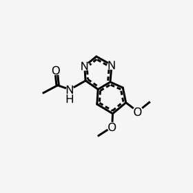 COc1cc2ncnc(NC(C)=O)c2cc1OC